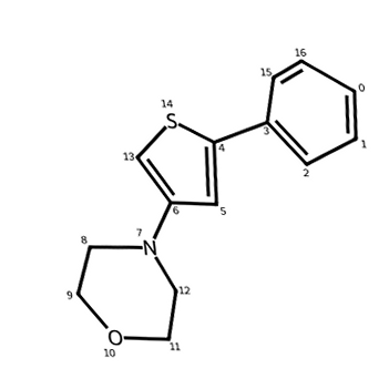 c1ccc(-c2cc(N3CCOCC3)cs2)cc1